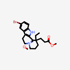 CCC1(CCC(=O)OC)CCC[N+]2=C1c1[nH]c3ccc(Br)cc3c1CC2.C[O-]